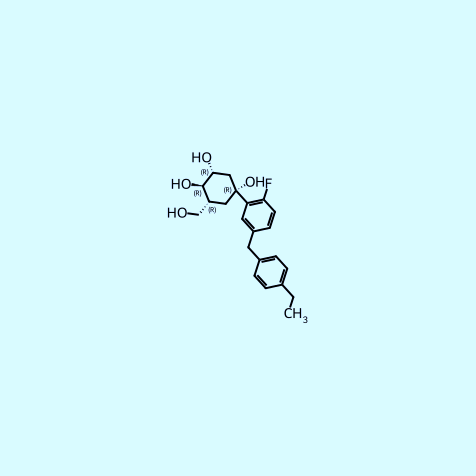 CCc1ccc(Cc2ccc(F)c([C@@]3(O)C[C@H](CO)[C@@H](O)[C@H](O)C3)c2)cc1